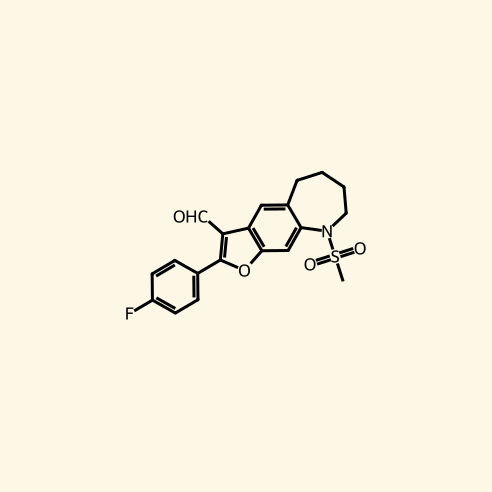 CS(=O)(=O)N1CCCCc2cc3c(C=O)c(-c4ccc(F)cc4)oc3cc21